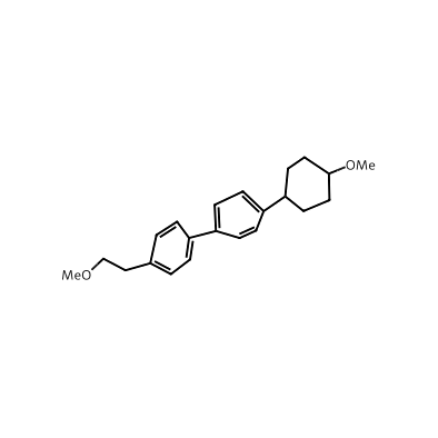 COCCc1ccc(-c2ccc(C3CCC(OC)CC3)cc2)cc1